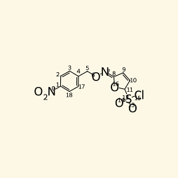 O=[N+]([O-])c1ccc(CON=C2C=CC(S(=O)(=O)Cl)O2)cc1